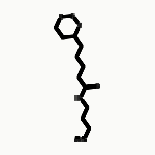 CNCCCNC(=O)CCCCC1CCSSS1